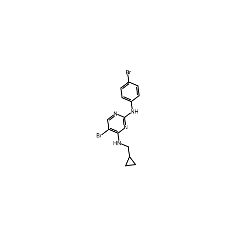 Brc1ccc(Nc2ncc(Br)c(NCC3CC3)n2)cc1